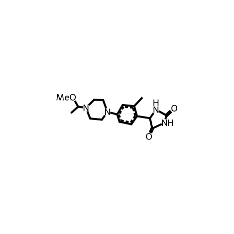 COC(C)N1CCN(c2ccc(C3NC(=O)NC3=O)c(C)c2)CC1